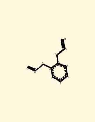 C=CCc1[c][c]ccc1CC=C